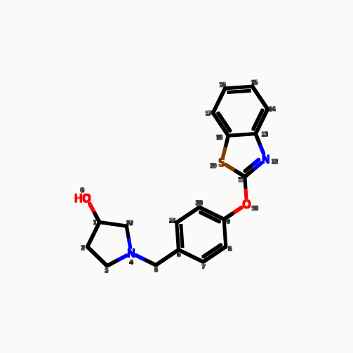 OC1CCN(Cc2ccc(Oc3nc4ccccc4s3)cc2)C1